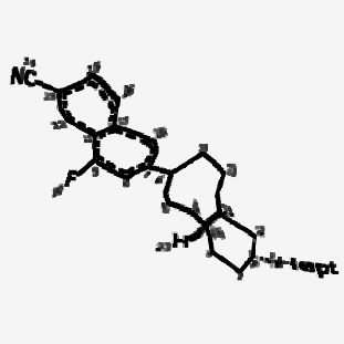 CCCCCCC[C@@H]1CC[C@@H]2CC(c3cc(F)c4cc(C#N)ccc4c3)CCC2C1